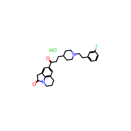 Cl.O=C(CCC1CCN(CCc2cccc(F)c2)CC1)c1cc2c3c(c1)CC(=O)N3CCC2